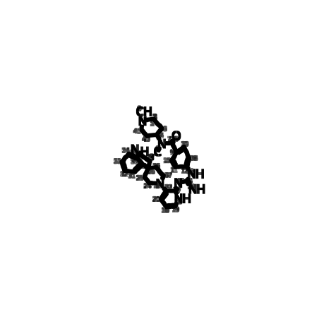 CN1CCC(N(C)C(=O)c2ccc(NC(=N)/N=c3\[nH]cccc3N3CCC(CC#N)(c4ccccc4)CC3)cc2)CC1